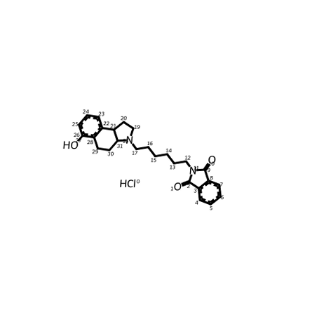 Cl.O=C1c2ccccc2C(=O)N1CCCCCCN1CCC2c3cccc(O)c3CCC21